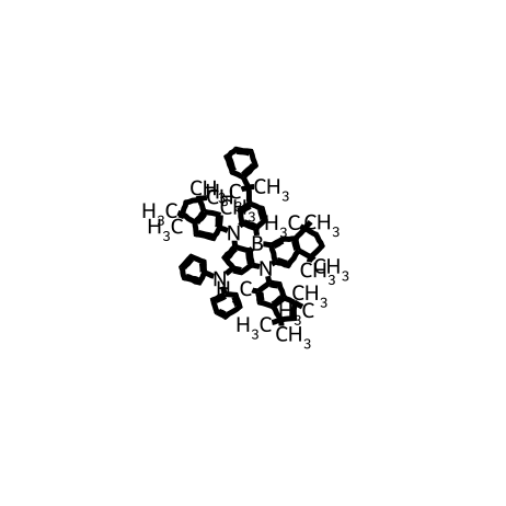 Cc1cc2c(cc1N1c3cc4c(cc3B3c5ccc(C(C)(C)c6ccccc6)cc5N(c5ccc6c(c5C)C(C)(C)CC6(C)C)c5cc(N(c6ccccc6)c6ccccc6)cc1c53)C(C)(C)CCC4(C)C)C(C)(C)CC2(C)C